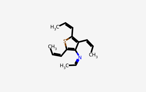 C/C=C\c1sc(/C=C\C)c(/N=C\C)c1/C=C\C